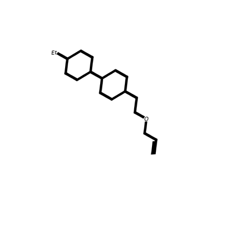 C=CCOCCC1CCC(C2CCC(CC)CC2)CC1